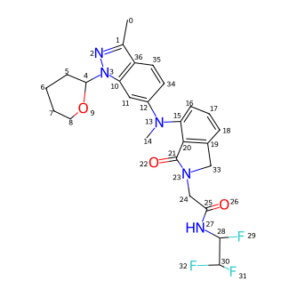 Cc1nn(C2CCCCO2)c2cc(N(C)c3cccc4c3C(=O)N(CC(=O)NC(F)C(F)F)C4)ccc12